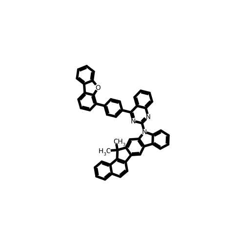 CC1(C)c2cc3c(cc2-c2ccc4ccccc4c21)c1ccccc1n3-c1nc(-c2ccc(-c3cccc4c3oc3ccccc34)cc2)c2ccccc2n1